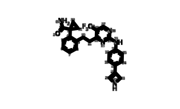 NC(=O)C1(c2ccccc2CCc2nc(Nc3ccc(C4=CNC4)cc3)ncc2C(F)(F)F)CC1